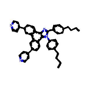 CCCCc1ccc(-c2nc3c4ccc(-c5ccncc5)cc4c4cc(-c5ccncc5)ccc4c3n2-c2ccc(CCCC)cc2)cc1